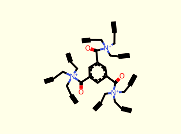 C#CC[N+](CC#C)(CC#C)C(=O)c1cc(C(=O)[N+](CC#C)(CC#C)CC#C)cc(C(=O)[N+](CC#C)(CC#C)CC#C)c1